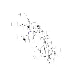 CN[C@@H](CCCCN)C(=O)N[C@H](C(=O)N[C@H](C(=O)NCC(=O)N[C@H](CCCN)C(=O)N1CCC[C@H]1C(=O)N[C@@H](Cc1cnc[nH]1)C(=O)N[C@@H](CCCCN)C(=O)N/C(=C\CCNC(=N)N)C(=O)N[C@@H](CCCCN)C(=O)NCCCCN)[C@@H](O)CN)[C@@H](O)CN